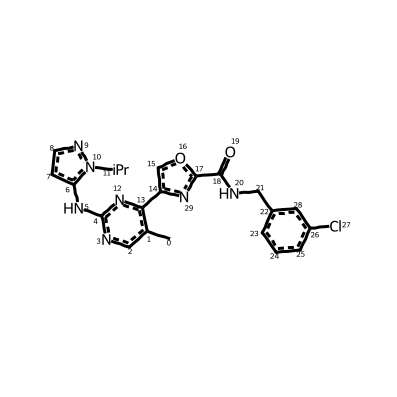 Cc1cnc(Nc2ccnn2C(C)C)nc1-c1coc(C(=O)NCc2cccc(Cl)c2)n1